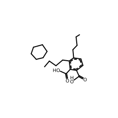 C1CCCCC1.CCCCc1ccc(C(=O)O)c(C(=O)O)c1CCCC